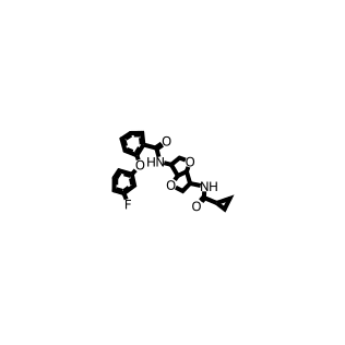 O=C(NC1COC2C(NC(=O)C3CC3)COC12)c1ccccc1Oc1cccc(F)c1